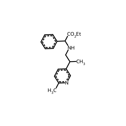 CCOC(=O)C(NCC(C)c1ccc(C)nc1)c1ccccc1